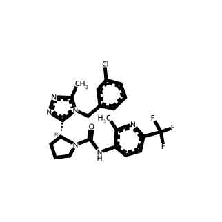 Cc1nc(C(F)(F)F)ccc1NC(=O)N1CCC[C@@H]1c1nnc(C)n1Cc1cccc(Cl)c1